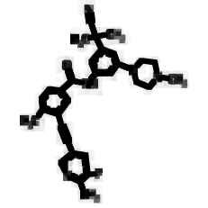 Cc1ccc(C(=O)Nc2cc(N3CCN(C)CC3)cc(C(C)(C)C#N)c2)cc1C#Cc1cnc(N)c(F)c1